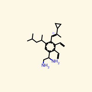 C=Cc1c(C(N)CN)cc(C(C)CC(C)C)c(/C=C(\C)C2CC2)c1C=C